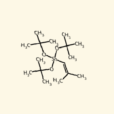 CC(C)=[CH][Sn]([O]C(C)(C)C)([O]C(C)(C)C)[O]C(C)(C)C